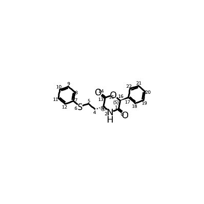 O=C1N[C@H](CCSc2ccccc2)C(=O)O[C@H]1c1ccccc1